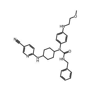 COCCNc1ccc(N(C(=O)NCc2ccccc2)C2CCC(Nc3ccc(C#N)cn3)CC2)cc1